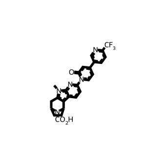 Cn1c2c(c3ccc(-n4ccc(-c5ccc(C(F)(F)F)nc5)cc4=O)nc31)C1CCC(C2)N1C(=O)O